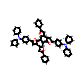 c1ccc(-c2cc3c4cc(-c5ccc(N(c6ccccc6)c6ccccc6)cc5)oc4c4c5oc(-c6ccccc6)cc5c5cc(-c6ccc(N(c7ccccc7)c7ccccc7)cc6)oc5c4c3o2)cc1